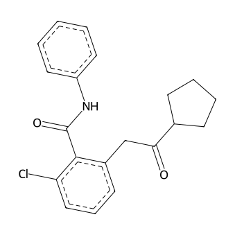 O=C(Nc1ccccc1)c1c(Cl)cccc1CC(=O)C1CCCC1